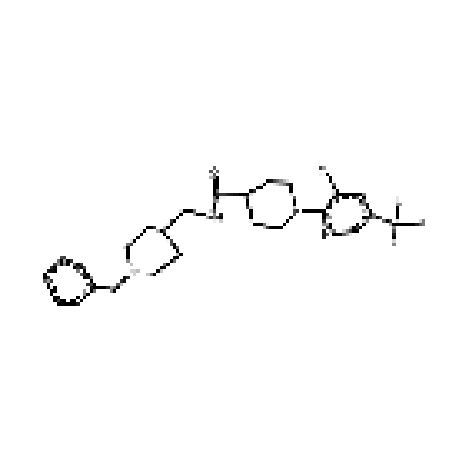 O=C(NCC1CCN(Cc2ccccc2)CC1)C1CCN(c2ncc(C(F)(F)F)cc2Cl)CC1